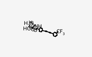 NC[C@H](NC(=O)c1ccc(C#CC#Cc2cccc(C(F)(F)F)c2)cc1)C(=O)NO